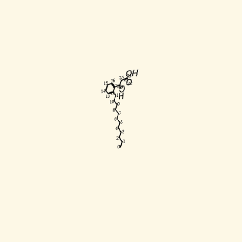 CCCCCCCCCCCCc1ccccc1C(O)CC(=O)O